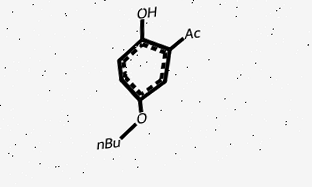 CCCCOc1ccc(O)c(C(C)=O)c1